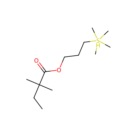 CCC(C)(C)C(=O)OCCC[SH](C)(C)(C)C